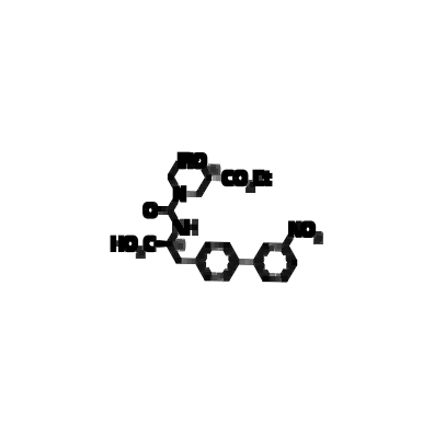 CCOC(=O)[C@@H](O)CN(CC(C)C)C(=O)N[C@@H](Cc1ccc(-c2cccc([N+](=O)[O-])c2)cc1)C(=O)O